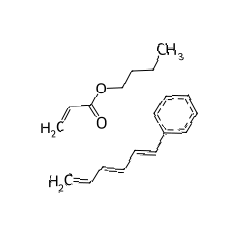 C=CC(=O)OCCCC.C=CC=CC=Cc1ccccc1